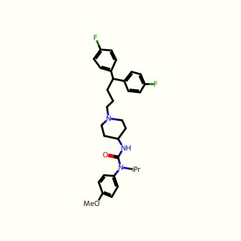 COc1ccc(N(C(=O)NC2CCN(CCCC(c3ccc(F)cc3)c3ccc(F)cc3)CC2)C(C)C)cc1